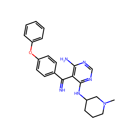 CN1CCCC(Nc2ncnc(N)c2C(=N)c2ccc(Oc3ccccc3)cc2)C1